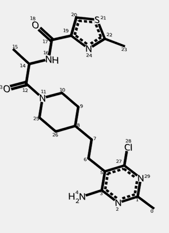 Cc1nc(N)c(CCC2CCN(C(=O)C(C)NC(=O)c3csc(C)n3)CC2)c(Cl)n1